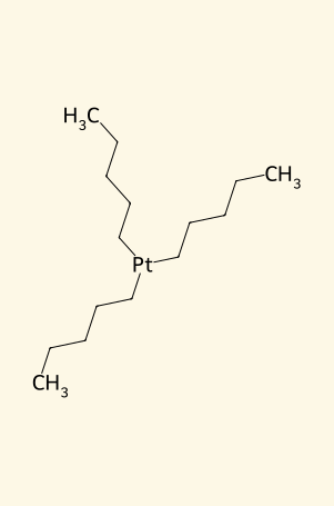 CCCC[CH2][Pt]([CH2]CCCC)[CH2]CCCC